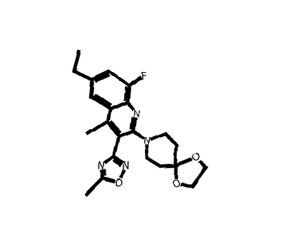 CCc1cc(F)c2nc(N3CCC4(CC3)OCCO4)c(-c3noc(C)n3)c(C)c2c1